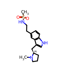 CN1CCC[C@@H]1Cc1c[nH]c2ccc(CCNS(C)(=O)=O)cc12